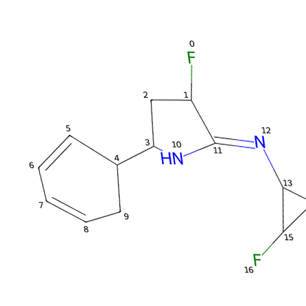 FC1CC(C2C=CC=CC2)N/C1=N\C1CC1F